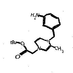 CC1=CN(CC(=O)OC(C)(C)C)CCN1Cc1cccc(N)c1